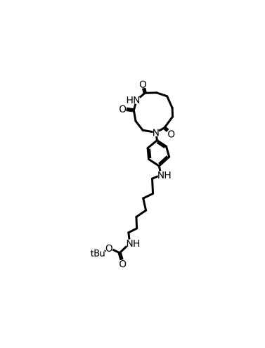 CC(C)(C)OC(=O)NCCCCCCCNc1ccc(N2CCC(=O)NC(=O)CCCCC2=O)cc1